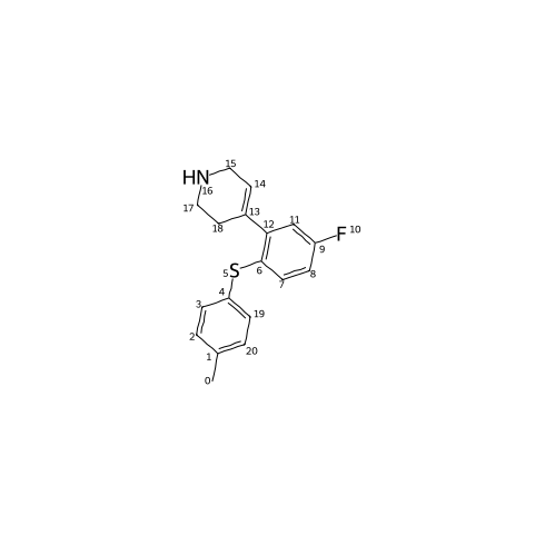 Cc1ccc(Sc2ccc(F)cc2C2=CCNCC2)cc1